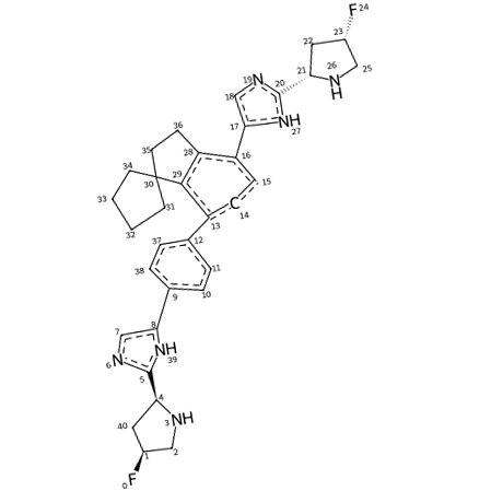 F[C@@H]1CN[C@H](c2ncc(-c3ccc(-c4ccc(-c5cnc([C@@H]6C[C@H](F)CN6)[nH]5)c5c4C4(CCCC4)CC5)cc3)[nH]2)C1